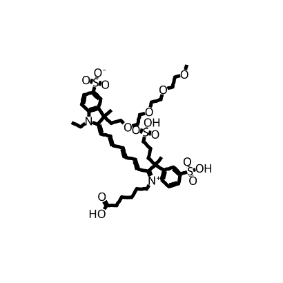 CCN1/C(=C/C=C/C=C/C=C/C2=[N+](CCCCCC(=O)O)c3ccc(S(=O)(=O)O)cc3C2(C)CCCS(=O)(=O)O)C(C)(CCOCCOCCOCCOC)c2cc(S(=O)(=O)[O-])ccc21